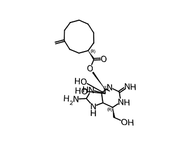 C=C1CCCCCC[C@@H](C(=O)O[C@H]2CN3C(=N)N[C@@H](CO)C4NC(N)NC43C2(O)O)CC1